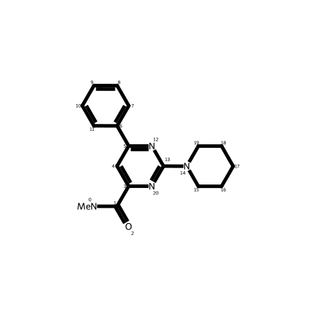 CNC(=O)c1cc(-c2ccccc2)nc(N2CCCCC2)n1